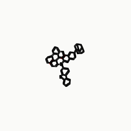 c1ccc(-c2cccc3cccc(-c4ccccc4N(c4ccc5cc(C67CC8CC(CC(C8)C6)C7)ccc5c4)c4ccc5c(c4)sc4ccccc45)c23)cc1